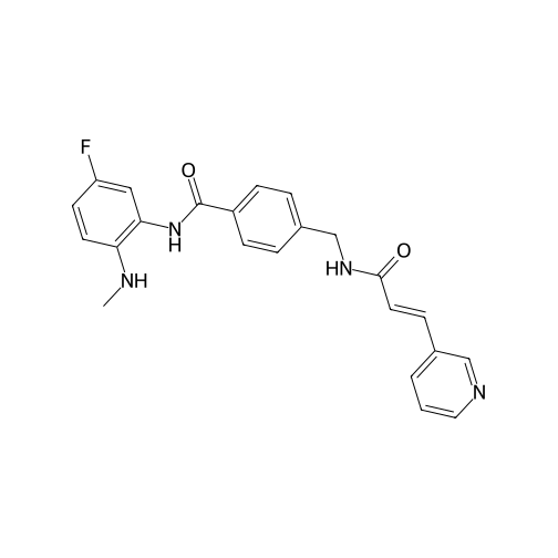 CNc1ccc(F)cc1NC(=O)c1ccc(CNC(=O)/C=C/c2cccnc2)cc1